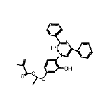 C=C(C)C(=O)OC(C)Oc1ccc(N2C=C(c3ccccc3)N=C(c3ccccc3)N2)c(O)c1